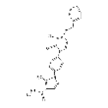 CCNC(=O)c1cnn(-c2ccc(-n3ccc(OCc4ccccc4)c(Cl)c3=O)cc2)c1C(F)(F)F